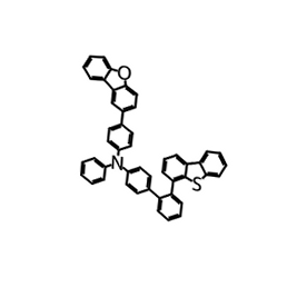 c1ccc(N(c2ccc(-c3ccc4oc5ccccc5c4c3)cc2)c2ccc(-c3ccccc3-c3cccc4c3sc3ccccc34)cc2)cc1